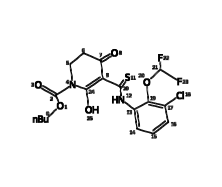 CCCCOC(=O)N1CCC(=O)C(C(=S)Nc2cccc(Cl)c2OC(F)F)=C1O